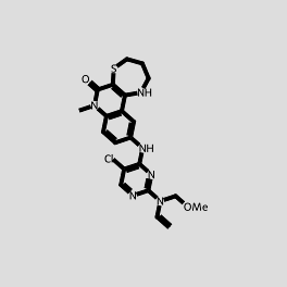 C=CN(COC)c1ncc(Cl)c(Nc2ccc3c(c2)c2c(c(=O)n3C)SCCCN2)n1